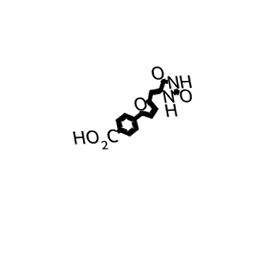 O=C1NC(=O)/C(=C/c2ccc(-c3ccc(C(=O)O)cc3)o2)N1